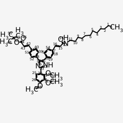 CCCCCCCCCCCCNC(=O)/C=C/c1ccc(-c2[nH]c(-c3ccc(OC)c(OC)c3OC)nc2-c2ccc(/C=C/C(=O)OC(C)(C)C)cc2)cc1